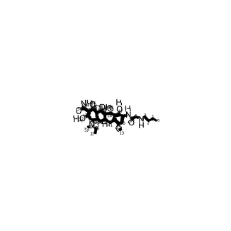 CCCCNCC(=O)Nc1cc(OC)c2c(c1O)C(=O)C1=C(O)[C@]3(O)C(=O)C(C(N)=O)=C(O)[C@@H](N(C)CC)[C@@H]3C[C@@H]1C2